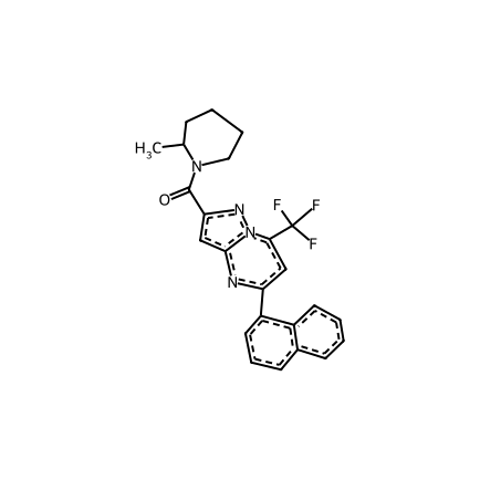 CC1CCCCN1C(=O)c1cc2nc(-c3cccc4ccccc34)cc(C(F)(F)F)n2n1